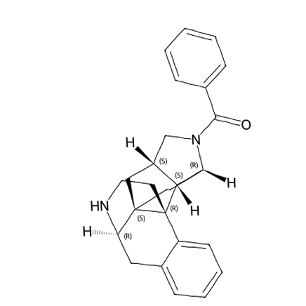 O=C(c1ccccc1)N1C[C@H]2C[C@@]34CC[C@@H]1[C@@H]2[C@@]31CCN[C@@H]4Cc2ccccc21